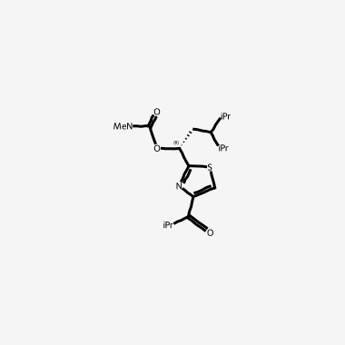 CNC(=O)O[C@H](CC(C(C)C)C(C)C)c1nc(C(=O)C(C)C)cs1